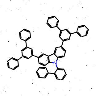 c1ccc(-c2cc(-c3ccccc3)cc(-c3ccc4c(c3)c3cc(-c5cc(-c6ccccc6)cc(-c6ccccc6)c5)ccc3n4-c3ccccc3-c3ccccc3)c2)cc1